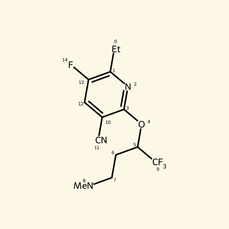 CCc1nc(OC(CCNC)C(F)(F)F)c(C#N)cc1F